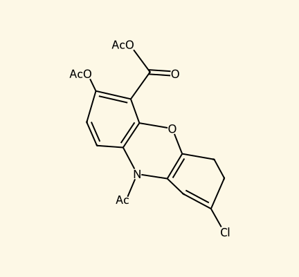 CC(=O)OC(=O)c1c(OC(C)=O)ccc2c1OC1=C(C=C(Cl)CC1)N2C(C)=O